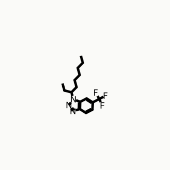 CCCCCCC(CC)n1nnc2ccc(C(F)(F)F)cc21